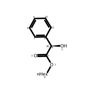 CCCCCCOC(=O)[C@H](O)c1ccccc1